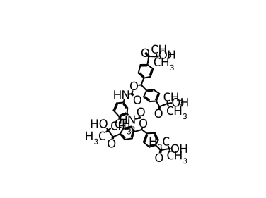 Cc1ccc(NC(=O)OC(c2ccc(C(=O)C(C)(C)O)cc2)c2ccc(C(=O)C(C)(C)O)cc2)cc1NC(=O)OC(c1ccc(C(=O)C(C)(C)O)cc1)c1ccc(C(=O)C(C)(C)O)cc1